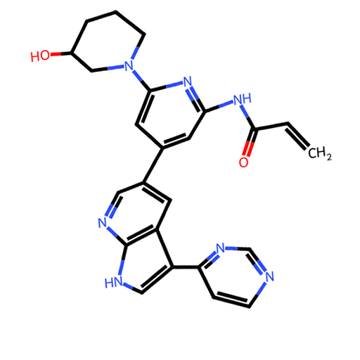 C=CC(=O)Nc1cc(-c2cnc3[nH]cc(-c4ccncn4)c3c2)cc(N2CCCC(O)C2)n1